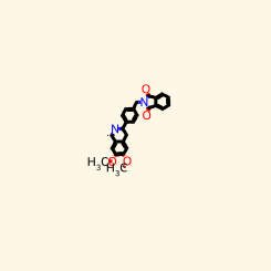 COc1cc2c(cc1OC)CC(c1ccc(CN3C(=O)c4ccccc4C3=O)cc1)N=[C]2